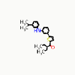 CCC(CC)C(=O)c1ccc(-c2cccc(Nc3cccc(C(C)C)c3)c2)s1